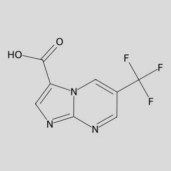 O=C(O)c1cnc2ncc(C(F)(F)F)cn12